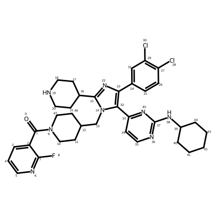 O=C(c1cccnc1F)N1CCC(Cn2c(C3CCNCC3)nc(-c3ccc(Cl)c(Cl)c3)c2-c2ccnc(NC3CCCCC3)n2)CC1